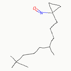 CC(CCCC(C)(C)C)CCCC1(N=O)CC1